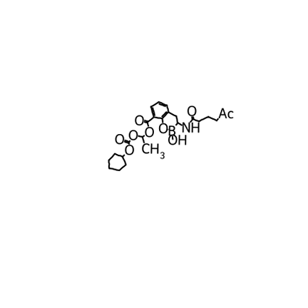 CC(=O)CCCC(=O)NC1Cc2cccc(C(=O)OC(C)OC(=O)OC3CCCCC3)c2OB1O